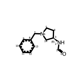 O=CN[C@@H]1CCN(Cc2ccccc2)C1